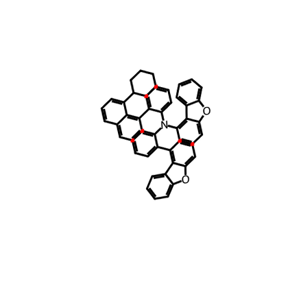 c1ccc(N(c2ccccc2-c2cccc3oc4ccccc4c23)c2cccc3oc4ccccc4c23)c(-c2cccc3cccc(C4CCCCC4)c23)c1